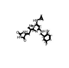 O=C1NC(=O)C(=Cc2cnn3c(NC4CC4)cc(NCc4cc(F)ccc4Br)nc23)N1